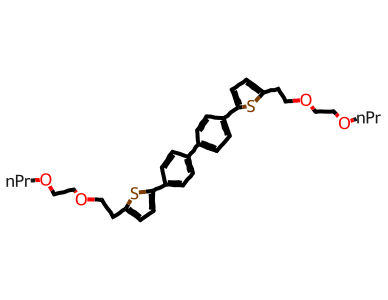 CCCOCCOCCc1ccc(-c2ccc(-c3ccc(-c4ccc(CCOCCOCCC)s4)cc3)cc2)s1